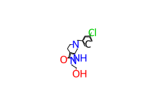 O=c1c2c([nH]n1CCO)CN(Cc1cccc(Cl)c1)CC2